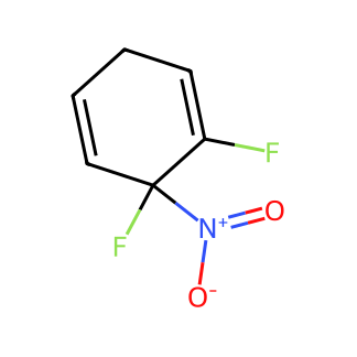 O=[N+]([O-])C1(F)C=CCC=C1F